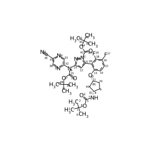 CC(C)(C)OC(=O)N[C@H]1CC[C@@H](Oc2ccc(F)c(F)c2-c2cc(N(C(=O)OC(C)(C)C)c3cnc(C#N)cn3)nn2C(=O)OC(C)(C)C)C1